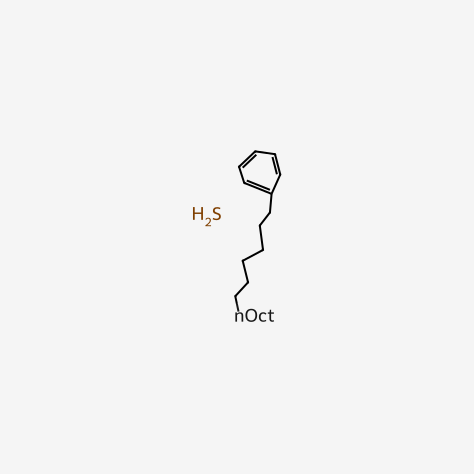 CCCCCCCCCCCCCCc1ccccc1.S